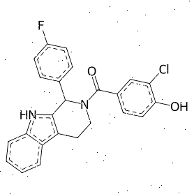 O=C(c1ccc(O)c(Cl)c1)N1CCc2c([nH]c3ccccc23)C1c1ccc(F)cc1